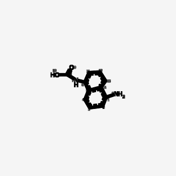 Nc1cccc2c(NC(=O)O)cccc12